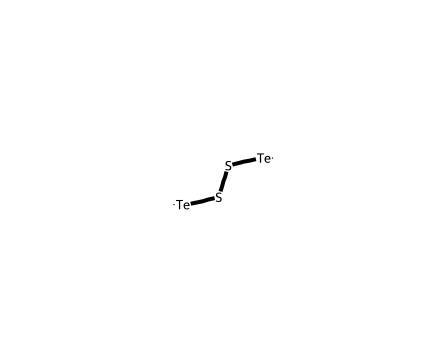 [Te]SS[Te]